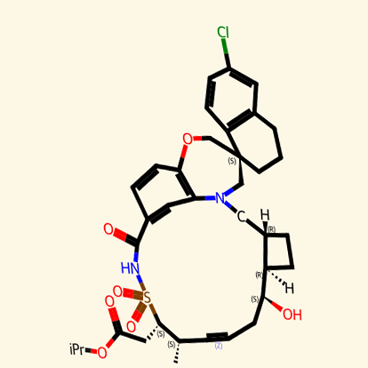 CC(C)OC(=O)C[C@H]1[C@@H](C)/C=C\C[C@H](O)[C@@H]2CC[C@H]2CN2C[C@@]3(CCCc4cc(Cl)ccc43)COc3ccc(cc32)C(=O)NS1(=O)=O